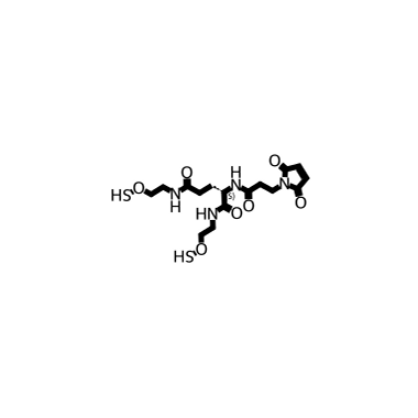 O=C(CC[C@H](NC(=O)CCN1C(=O)C=CC1=O)C(=O)NCCOS)NCCOS